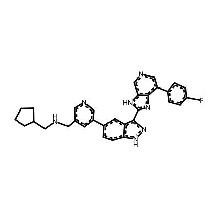 Fc1ccc(-c2cncc3[nH]c(-c4n[nH]c5ccc(-c6cncc(CNCC7CCCC7)c6)cc45)nc23)cc1